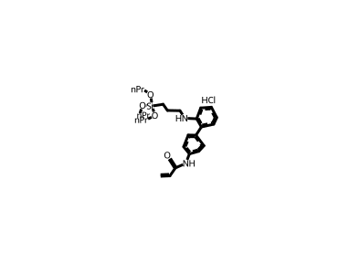 C=CC(=O)Nc1ccc(-c2ccccc2NCCC[Si](OCCC)(OCCC)OCCC)cc1.Cl